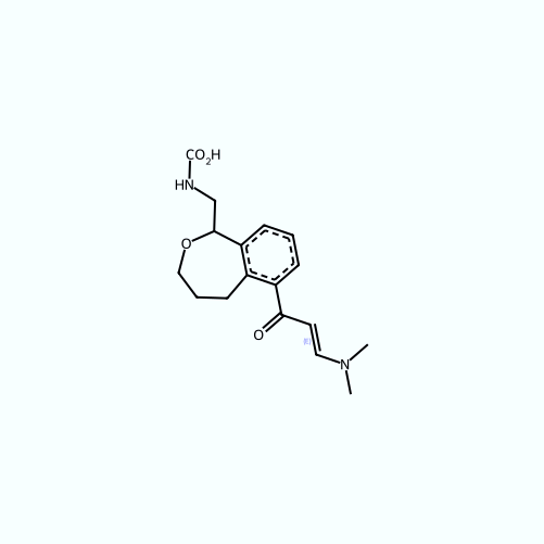 CN(C)/C=C/C(=O)c1cccc2c1CCCOC2CNC(=O)O